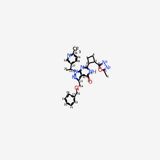 Cc1nnc(C2CCC2c2nc3c(c(COCc4ccccc4)nn3C(C)c3ccc(C(F)(F)F)nc3)c(=O)[nH]2)o1